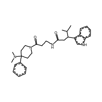 CC(C)C(CC(=O)NCCC(=O)N1CCC(c2ccccc2)(N(C)C)CC1)c1c[nH]c2ccccc12